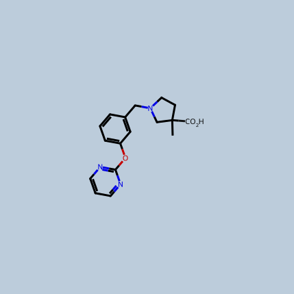 CC1(C(=O)O)CCN(Cc2cccc(Oc3ncccn3)c2)C1